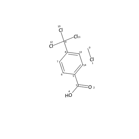 CCl.O=C(O)c1ccc(C(Cl)(Cl)Cl)cc1